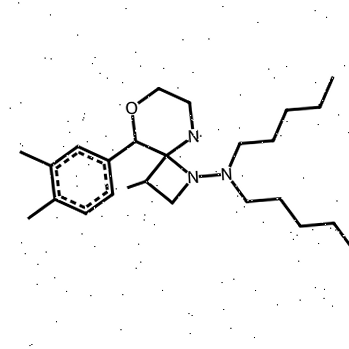 CCCCCN(CCCCC)N1CC(C)C12[N]CCOC2c1ccc(C)c(C)c1